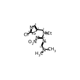 CCN(Cc1cnc(Cl)s1)C(N=CN(C)C)=N[N+](=O)[O-]